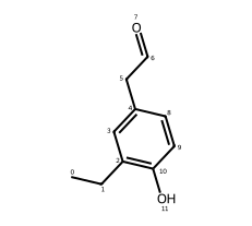 CCc1cc(CC=O)ccc1O